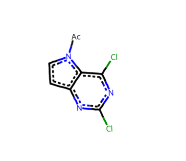 CC(=O)n1ccc2nc(Cl)nc(Cl)c21